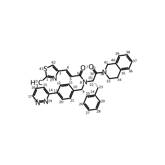 Cc1nc(C=CC(=O)N(Cc2ccc(-c3cccnn3)cc2)[C@@H](Cc2ccccc2)C(=O)N2CCc3ccccc3C2)cs1